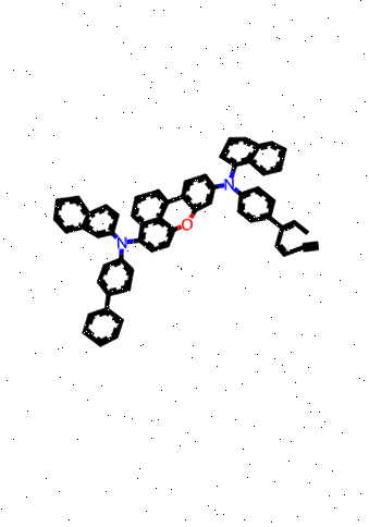 C#C/C=C\C(=C/C)c1ccc(N(c2ccc3c(c2)Oc2ccc(N(c4ccc(-c5ccccc5)cc4)c4ccc5ccccc5c4)c4cccc-3c24)c2cccc3ccccc23)cc1